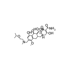 COc1c(CN(C)CCOC(C)C)cc(O)c2c1CC1C[C@H]3CC(O)=C(C(N)=O)C(=O)[C@@]3(O)C(O)=C1C2=O